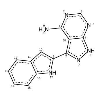 Nc1ncnc2[nH]nc(-c3cc4ccccc4[nH]3)c12